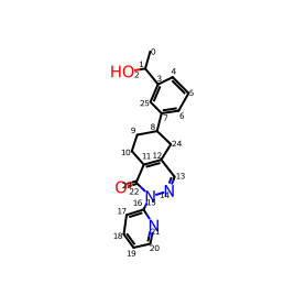 CC(O)c1cccc(C2CCc3c(cnn(-c4ccccn4)c3=O)C2)c1